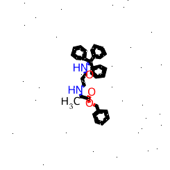 C[C@H](NCCC(=O)NC(c1ccccc1)(c1ccccc1)c1ccccc1)C(=O)OCc1ccccc1